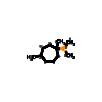 CC1CCCC(C)(P(C)C)CC1